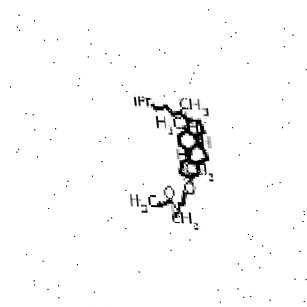 C=CC(=O)N(C)CCO[C@H]1CC[C@@]2(C)C(=CC[C@H]3[C@@H]4CC[C@H]([C@H](C)CCCC(C)C)[C@@]4(C)CC[C@@H]32)C1